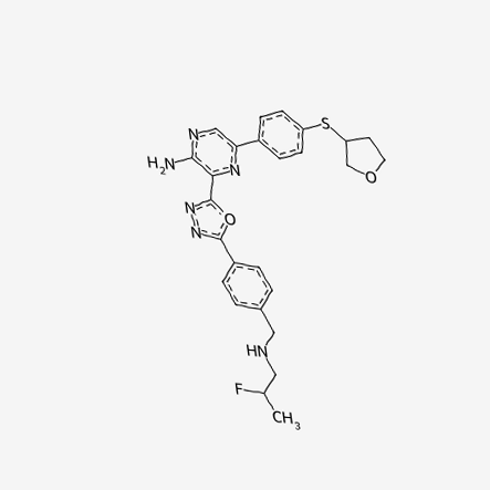 CC(F)CNCc1ccc(-c2nnc(-c3nc(-c4ccc(SC5CCOC5)cc4)cnc3N)o2)cc1